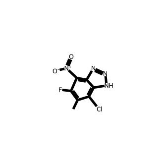 Cc1c(F)c([N+](=O)[O-])c2nn[nH]c2c1Cl